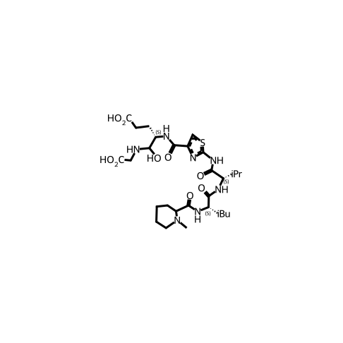 CCC(C)[C@H](NC(=O)C1CCCCN1C)C(=O)N[C@H](C(=O)Nc1nc(C(=O)N[C@@H](CCC(=O)O)C(O)NCC(=O)O)cs1)C(C)C